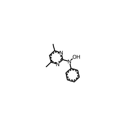 Cc1cc(C)nc(N(O)c2ccccc2)n1